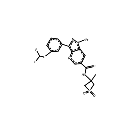 CC(C)n1nc(-c2cccc(OC(F)F)c2)c2ncc(C(=O)NC3(C)CS(=O)(=O)C3)cc21